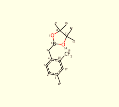 Cc1ccc(CB2OC(C)(C)C(C)(C)O2)c(C(F)(F)F)c1